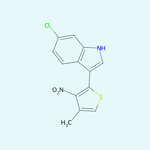 Cc1csc(-c2c[nH]c3cc(Cl)ccc23)c1[N+](=O)[O-]